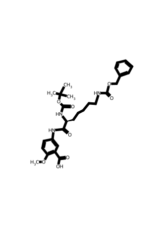 COc1ccc(NC(=O)[C@H](CCCCCNC(=O)OCc2ccccc2)NC(=O)OC(C)(C)C)cc1C(=O)O